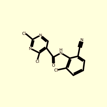 N#Cc1cccc(Cl)c1NC(=O)c1cnc(Cl)nc1Cl